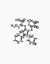 CCN(Cc1c(CN(CC)C(=O)O)c2sc3ccccc3n2c1-c1ccc(F)cc1)C(=O)O